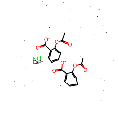 CC(=O)Oc1ccccc1C(=O)[O-].CC(=O)Oc1ccccc1C(=O)[O-].Cl.[Ca+2]